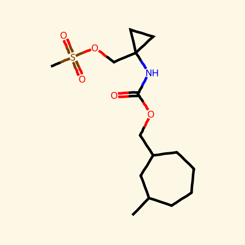 CC1CCCCC(COC(=O)NC2(COS(C)(=O)=O)CC2)C1